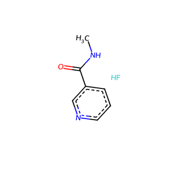 CNC(=O)c1cccnc1.F